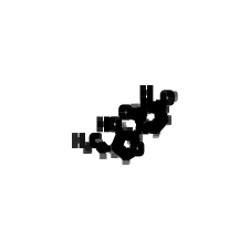 CC[C@H]1CO[C@@H](n2ccc(=O)[nH]c2=O)[C@@H]1O